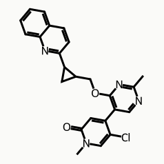 Cc1ncc(-c2cc(=O)n(C)cc2Cl)c(OCC2CC2c2ccc3ccccc3n2)n1